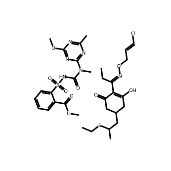 CCSC(C)CC1CC(=O)C(/C(CC)=N/OC/C=C/Cl)=C(O)C1.COC(=O)c1ccccc1S(=O)(=O)NC(=O)N(C)c1nc(C)nc(OC)n1